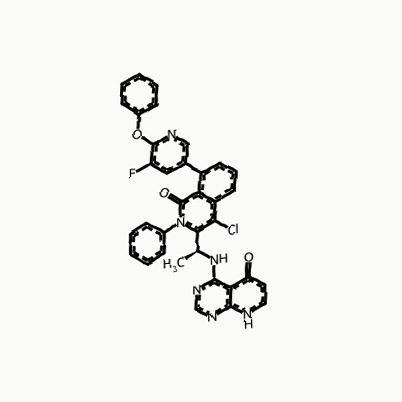 C[C@H](Nc1ncnc2[nH]ccc(=O)c12)c1c(Cl)c2cccc(-c3cnc(Oc4ccccc4)c(F)c3)c2c(=O)n1-c1ccccc1